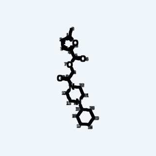 Cc1ccc(C(=O)OCC(=O)N2CCN(C3CCCCC3)CC2)o1